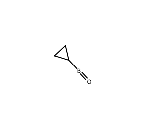 O=BC1CC1